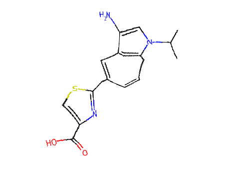 CC(C)n1cc(N)c2cc(-c3nc(C(=O)O)cs3)ccc21